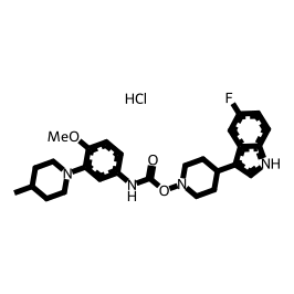 COc1ccc(NC(=O)ON2CCC(c3c[nH]c4ccc(F)cc34)CC2)cc1N1CCC(C)CC1.Cl